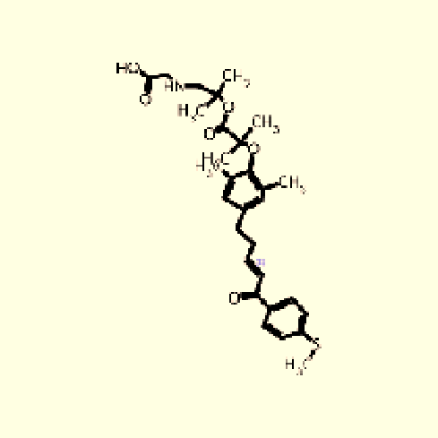 CSc1ccc(C(=O)/C=C/CCc2cc(C)c(OC(C)(C)C(=O)OC(C)(C)CNCC(=O)O)c(C)c2)cc1